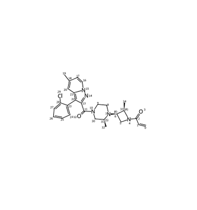 C=CC(=O)N1C[C@@H](N2CCN(C(=O)c3nn4ccc(C)cc4c3-c3ccccc3Cl)C[C@@H]2C)[C@H]1C